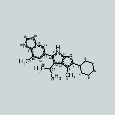 Cc1c(C2CCCCC2)sc2[nH]c(-c3cc(C)c4nccn4c3)c(C(C)C)c12